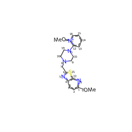 COc1ccc2nc(CN3CCN(c4cccc[n+]4OC)CC3)sc2n1